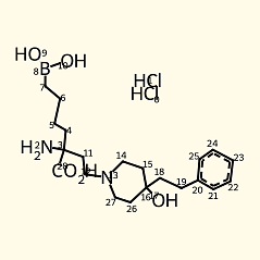 Cl.Cl.NC(CCCCB(O)O)(CCN1CCC(O)(CCc2ccccc2)CC1)C(=O)O